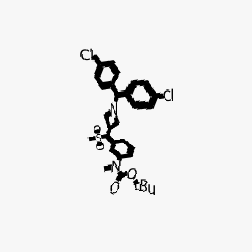 CN(C(=O)OC(C)(C)C)C1=CC(=C(C2CN(C(c3ccc(Cl)cc3)c3ccc(Cl)cc3)C2)S(C)(=O)=O)CC=C1